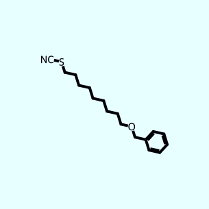 N#CSCCCCCCCCCOCc1ccccc1